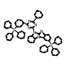 c1ccc(-c2nc(-c3cccc(S(c4ccccc4)(c4ccccc4)c4ccccc4)c3)nc(-n3c4ccccc4n4c5cc(S(c6ccccc6)(c6ccccc6)c6ccccc6)ccc5nc34)n2)cc1